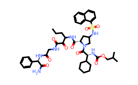 CCCC(NC(=O)[C@@H]1CC(NS(=O)(=O)c2cccc3ccccc23)CN1C(=O)[C@H](NC(=O)OCC(C)C)C1CCCCC1)C(=O)C(=O)NCC(=O)N[C@@H](C(N)=O)c1ccccc1